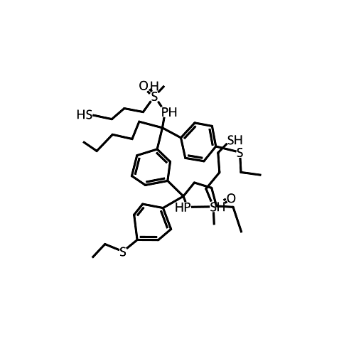 CCCCCC(P[SH](C)(=O)CCCS)(c1ccc(SCC)cc1)c1cccc(C(CCCCC)(P[SH](C)(=O)CCCS)c2ccc(SCC)cc2)c1